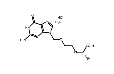 CC(C)[C@H](NCCOCn1cnc2c(=O)[nH]c(N)nc21)C(=O)O.Cl.O